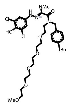 CN/C(=N\Nc1cc(Cl)c(O)c(Cl)c1)C(=O)N(CCOCCOCCOCCOCCOC)Cc1ccc(C(C)(C)C)cc1